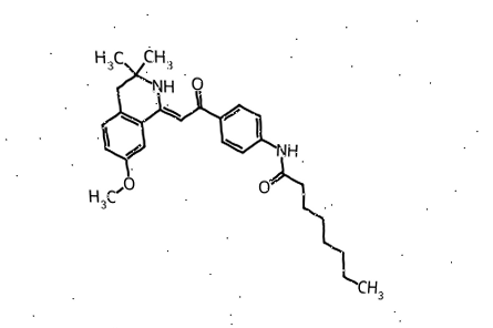 CCCCCCCC(=O)Nc1ccc(C(=O)C=C2NC(C)(C)Cc3ccc(OC)cc32)cc1